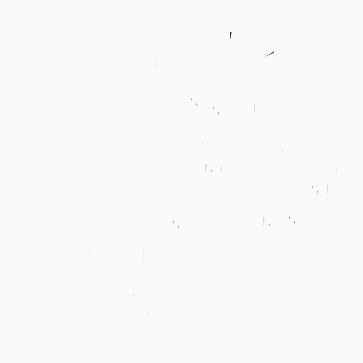 C[C@@H]1c2c(C(F)F)nn(CC(=O)N[C@@H](Cc3cc(F)cc(F)c3)c3nc(C#CC4(CO[Si](c5ccccc5)(c5ccccc5)C(C)(C)C)CC4)ccc3-c3ccc(Cl)c4c(NS(C)(=O)=O)nn(C)c34)c2C(F)(F)[C@@H]1C